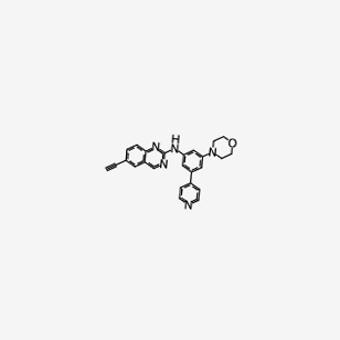 C#Cc1ccc2nc(Nc3cc(-c4ccncc4)cc(N4CCOCC4)c3)ncc2c1